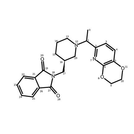 CC(c1ccc2c(n1)OCCO2)N1CCC[C@H](CN2C(=O)c3ccccc3C2=O)C1